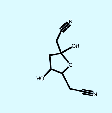 N#CCC1OC(O)(CC#N)CC1O